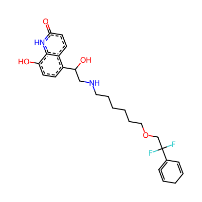 O=c1ccc2c(C(O)CNCCCCCCOCC(F)(F)C3=C=CCC=C3)ccc(O)c2[nH]1